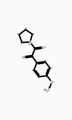 COc1ccc(C(=O)C(=O)N2CCCC2)cc1